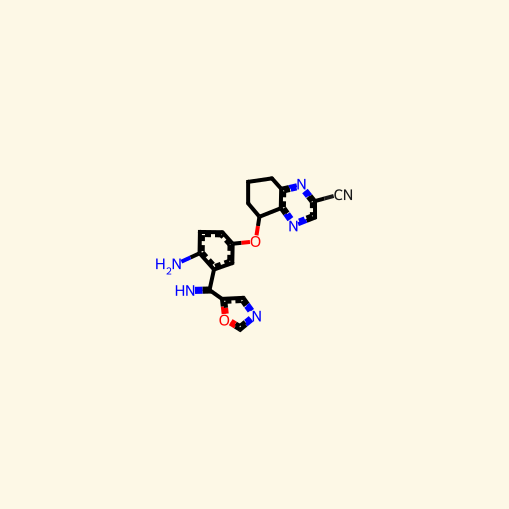 N#Cc1cnc2c(n1)CCCC2Oc1ccc(N)c(C(=N)c2cnco2)c1